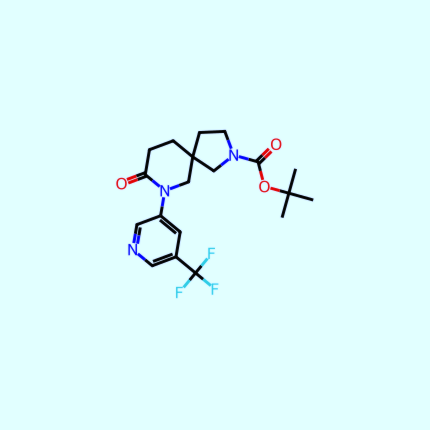 CC(C)(C)OC(=O)N1CCC2(CCC(=O)N(c3cncc(C(F)(F)F)c3)C2)C1